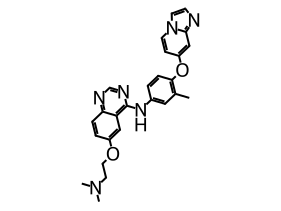 Cc1cc(Nc2ncnc3ccc(OCCN(C)C)cc23)ccc1Oc1ccn2ccnc2c1